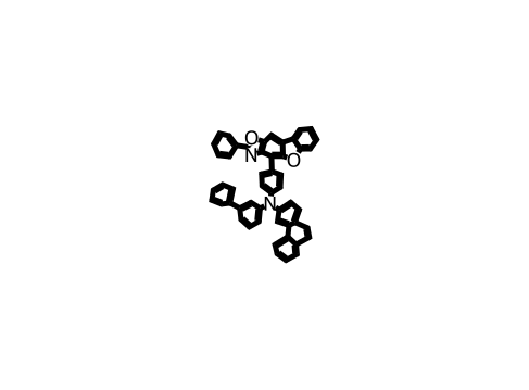 c1ccc(-c2cccc(N(c3ccc(-c4c5nc(-c6ccccc6)oc5cc5c4oc4ccccc45)cc3)c3ccc4ccc5ccccc5c4c3)c2)cc1